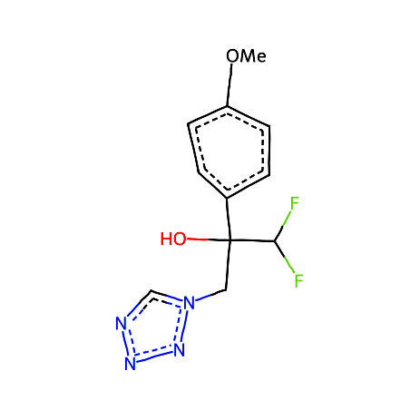 COc1ccc(C(O)(Cn2cnnn2)C(F)F)cc1